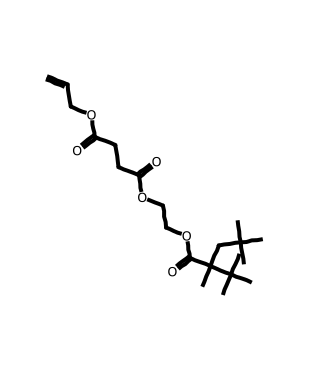 C=CCOC(=O)CCC(=O)OCCOC(=O)C(C)(CC(C)(C)C)C(C)(C)C